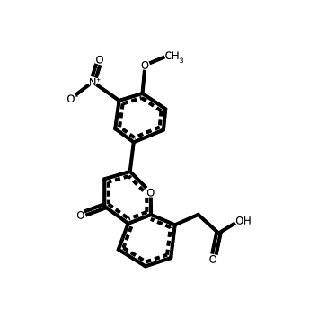 COc1ccc(-c2cc(=O)c3cccc(CC(=O)O)c3o2)cc1[N+](=O)[O-]